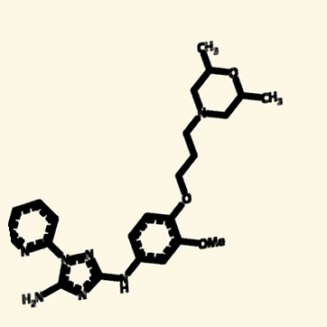 COc1cc(Nc2nc(N)n(-c3ccccn3)n2)ccc1OCCCN1CC(C)OC(C)C1